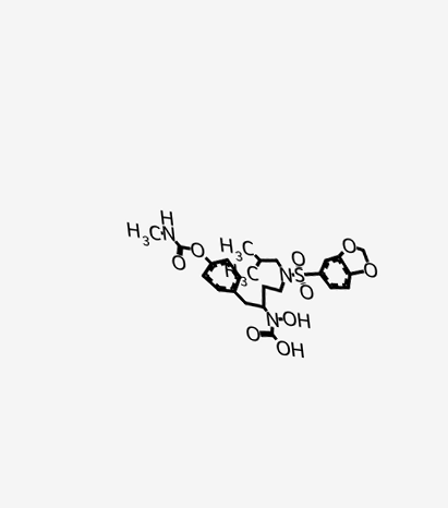 CNC(=O)Oc1ccc(CC(CCN(CC(C)C)S(=O)(=O)c2ccc3c(c2)OCO3)N(O)C(=O)O)cc1